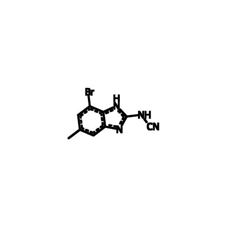 Cc1cc(Br)c2[nH]c(NC#N)nc2c1